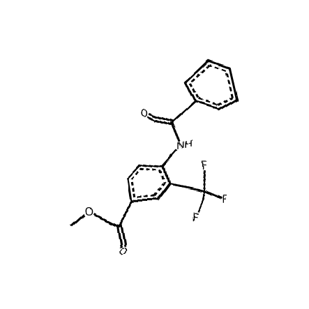 COC(=O)c1ccc(NC(=O)c2ccccc2)c(C(F)(F)F)c1